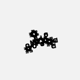 O=C1C(=Cc2cc3oc(-c4ccco4)nc3n2-c2ccccc2)C(=O)c2cc(Cl)c(Cl)cc21